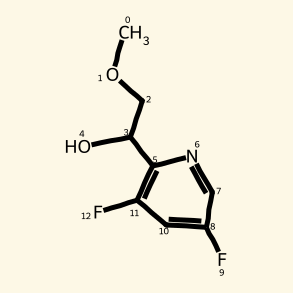 COCC(O)c1ncc(F)cc1F